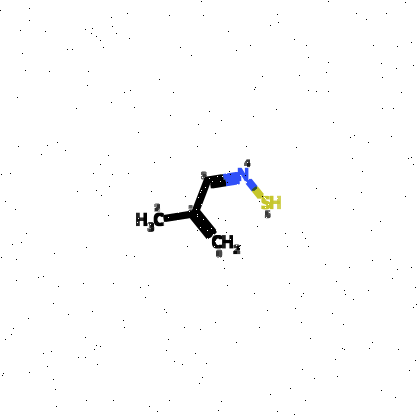 C=C(C)/C=N\S